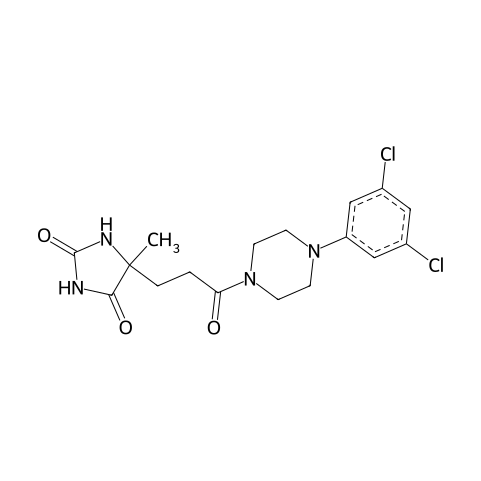 CC1(CCC(=O)N2CCN(c3cc(Cl)cc(Cl)c3)CC2)NC(=O)NC1=O